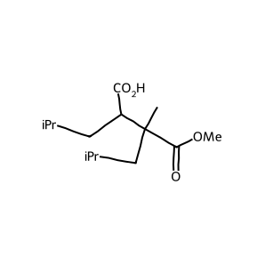 COC(=O)C(C)(CC(C)C)C(CC(C)C)C(=O)O